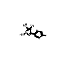 CCCn1nc(-c2ccc(C)cc2)c(CC)c1O